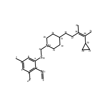 C=Nc1c(F)cc(C)cc1SCN1CCC(CC/C(C)=C(/C)C2CC2)CC1